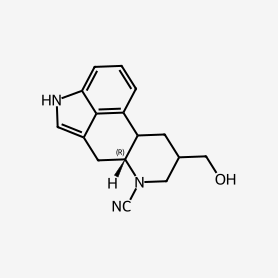 N#CN1CC(CO)CC2c3cccc4[nH]cc(c34)C[C@H]21